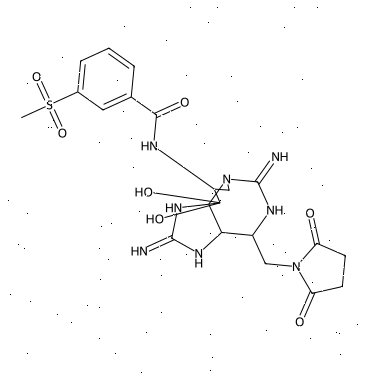 CS(=O)(=O)c1cccc(C(=O)NC2CN3C(=N)NC(CN4C(=O)CCC4=O)C4NC(=N)NC43C2(O)O)c1